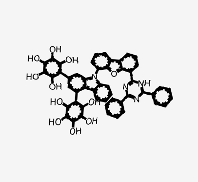 Oc1c(O)c(O)c(-c2cc(-c3c(O)c(O)c(O)c(O)c3O)c3c4ccccc4n(-c4cccc5c4oc4c(C6=NC(c7ccccc7)=NC(c7ccccc7)N6)cccc45)c3c2)c(O)c1O